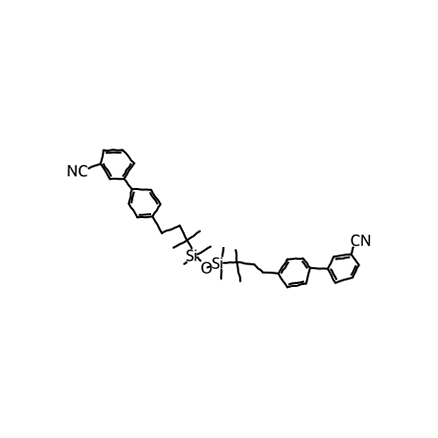 CC(C)(CCc1ccc(-c2cccc(C#N)c2)cc1)[Si](C)(C)O[Si](C)(C)C(C)(C)CCc1ccc(-c2cccc(C#N)c2)cc1